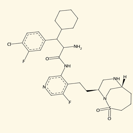 NC(C(=O)Nc1cncc(F)c1CC[C@H]1CN[C@@H]2CCCS(=O)(=O)N1C2)C(c1ccc(Cl)c(F)c1)C1CCCCC1